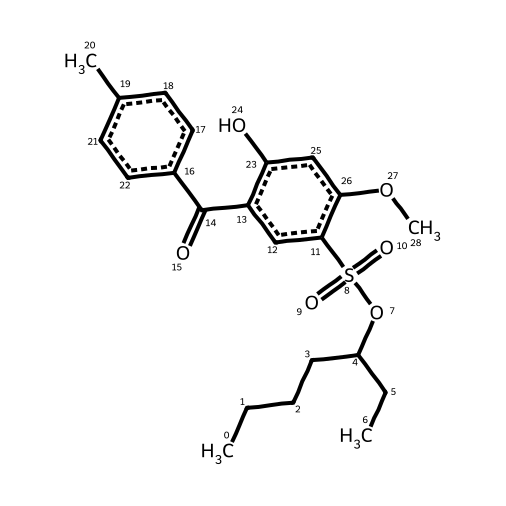 CCCCC(CC)OS(=O)(=O)c1cc(C(=O)c2ccc(C)cc2)c(O)cc1OC